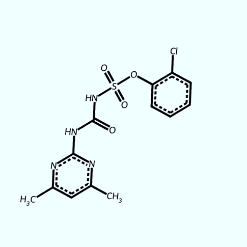 Cc1cc(C)nc(NC(=O)NS(=O)(=O)Oc2ccccc2Cl)n1